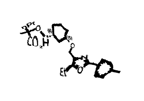 CCCC(C)(OC[C@@H]1CCC[C@H](OCc2nc(-c3ccc(C)cc3)oc2CC)C1)C(=O)O